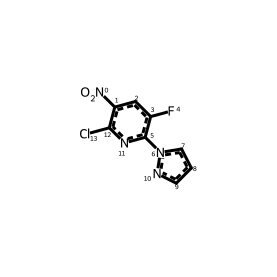 O=[N+]([O-])c1cc(F)c(-n2cccn2)nc1Cl